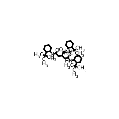 CC(C)(C)C1CCCCC1NC(=O)CC(CC(=O)NC1CCCCC1C(C)(C)C)C(=O)NC1CCCCC1C(C)(C)C